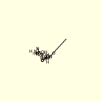 CCCCCCCCCCCCCCCCOCCCOC(=O)[C@@H](C)NP(=O)(O)OOc1ccccc1OCC1O[C@@H](n2cc(C#N)c3c(N)ncnc32)[C@H](O)[C@@H]1O